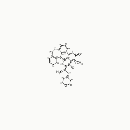 Cc1c2n(ccc1=O)N(C1C3=C(C=CCC3)SCc3ccccc31)CN(C(C)CN1CCOCC1)C2=O